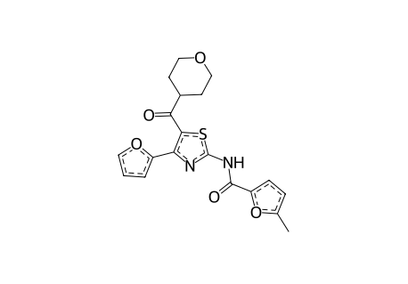 Cc1ccc(C(=O)Nc2nc(-c3ccco3)c(C(=O)C3CCOCC3)s2)o1